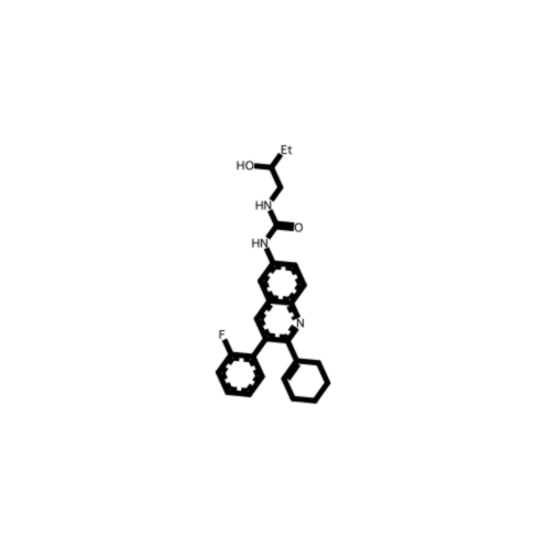 CCC(O)CNC(=O)Nc1ccc2nc(C3=CCCCC3)c(-c3ccccc3F)cc2c1